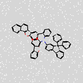 c1ccc(C2(c3ccccc3)c3ccccc3-c3ccc(N(c4ccccc4-c4ccc5oc6c7ccccc7ccc6c5c4)c4cccc5c4oc4ccccc45)cc32)cc1